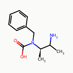 CC(N)[C@@H](C)N(Cc1ccccc1)C(=O)O